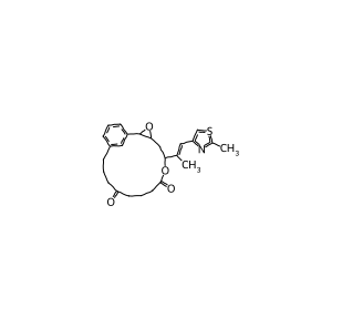 CC(=Cc1csc(C)n1)C1CC2OC2c2cccc(c2)CCCC(=O)CCCC(=O)O1